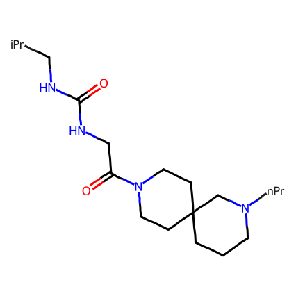 CCCN1CCCC2(CCN(C(=O)CNC(=O)NCC(C)C)CC2)C1